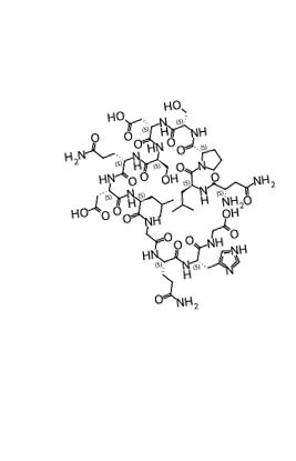 CC(C)C[C@H](NC(=O)[C@H](CC(=O)O)NC(=O)[C@H](CCC(N)=O)NC(=O)[C@H](CO)NC(=O)[C@H](CC(=O)O)NC(=O)[C@H](CO)NC(=O)[C@@H]1CCCN1C(=O)[C@H](CC(C)C)NC(=O)[C@@H](N)CC(N)=O)C(=O)NCC(=O)N[C@@H](CCC(N)=O)C(=O)N[C@@H](Cc1c[nH]cn1)C(=O)NCC(=O)O